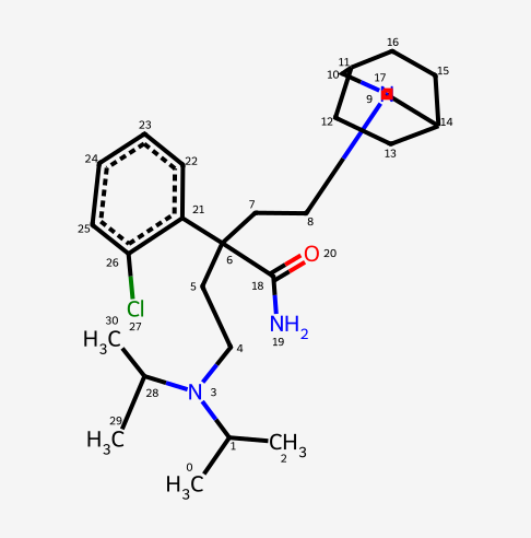 CC(C)N(CCC(CCN1CC2CCC(CC2)C1)(C(N)=O)c1ccccc1Cl)C(C)C